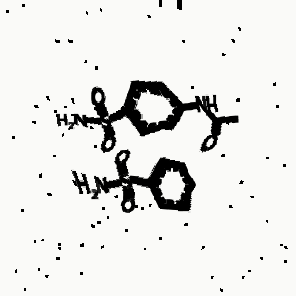 CC(=O)Nc1ccc(S(N)(=O)=O)cc1.NS(=O)(=O)c1ccccc1